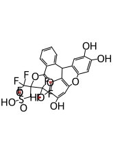 O=C(OC(CS(=O)(=O)O)(C(F)(F)F)C(F)(F)F)c1ccccc1C1c2cc(O)c(O)cc2Oc2cc(O)c(O)cc21